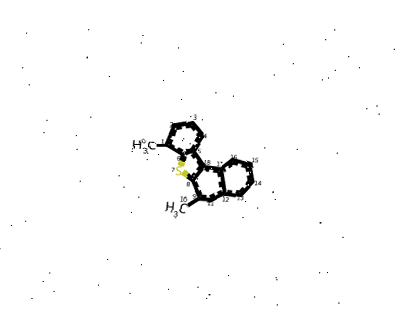 Cc1cccc2c1sc1c(C)cc3ccccc3c12